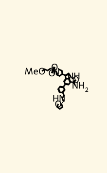 COCCCS(=O)(=O)N1CCC(c2c[nH]c3c(C(N)=O)cc(-c4cccc(CNC[C@H]5CCCO5)c4)cc23)CC1